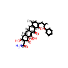 CC(Cc1ccccc1)Cc1cc(C(C)C)c2c(c1O)C(=O)C1=C(O)[C@]3(O)C(=O)C(C(N)=O)=C(O)C[C@@H]3C[C@@H]1C2